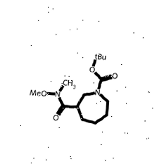 CON(C)C(=O)C1CCCCN(C(=O)OC(C)(C)C)C1